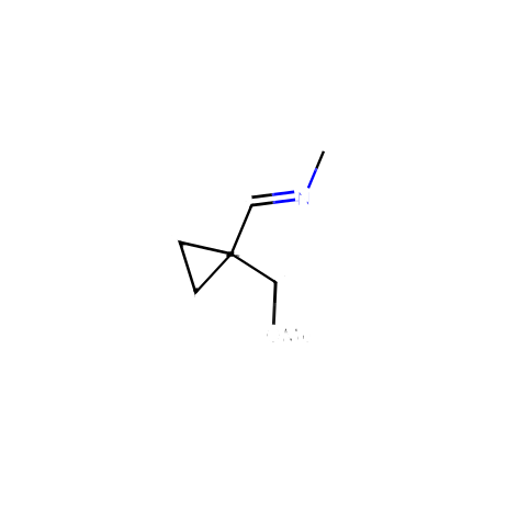 CN=CC1(COC)CC1